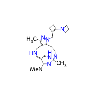 CNC1=N/C(C)=N\CCc2c(c(C)nn2CC2=C(N3CCC3)CC2)CN\C=C\1C=N